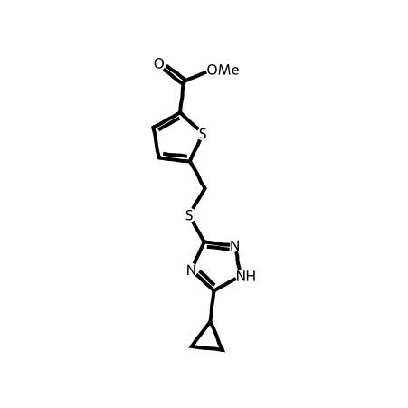 COC(=O)c1ccc(CSc2n[nH]c(C3CC3)n2)s1